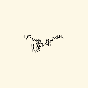 COCCOCCNC(=O)OCCN(CCC[Si](C)(OC)OC)CCOC(=O)NCCOCCOC